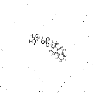 CC(C)COC(=O)OC1CCC2C1CCC1C3CCCC=C3CCC12